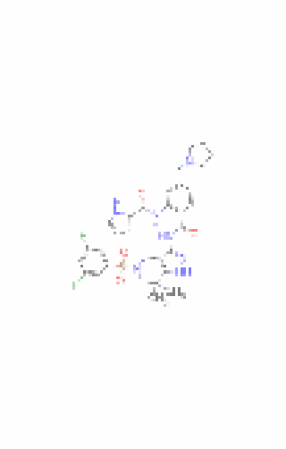 CC1(C)CN(S(=O)(=O)c2cc(F)cc(F)c2)Cc2c(NC(=O)c3ccc(CN4CCCC4)cc3NC(=O)c3ccc[nH]3)n[nH]c21